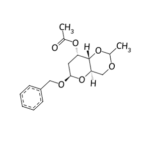 CC(=O)O[C@H]1C[C@H](OCc2ccccc2)O[C@@H]2COC(C)O[C@@H]12